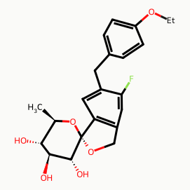 CCOc1ccc(Cc2cc3c(cc2F)CO[C@]32O[C@H](C)[C@@H](O)[C@H](O)[C@H]2O)cc1